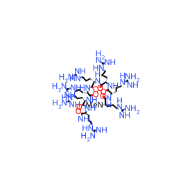 CN[C@@H](CCCNC(=N)N)C(=O)N[C@@H](CCCNC(=N)N)C(=O)N[C@@H](CCCNC(=N)N)C(=O)N[C@@H](CCCNC(=N)N)C(=O)N[C@@H](CCCNC(=N)N)C(=O)N[C@@H](CCCNC(=N)N)C(=O)N[C@@H](CCCNC(=N)N)C(N)=O